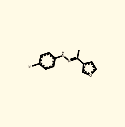 C/C(=N\Nc1ccc(Br)cc1)c1ccoc1